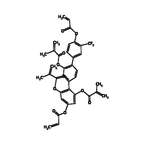 C=CC(=O)Oc1cc(OC(=O)C(=C)C)c(-c2ccc(-c3ccc(OC(=O)C=C)c(C(F)(F)F)c3)c(OC(=O)C(=C)C)c2)c(OC(=O)C(=C)C)c1